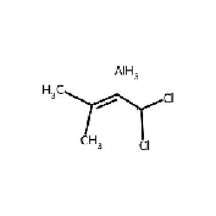 CC(C)=C[C](Cl)Cl.[AlH3]